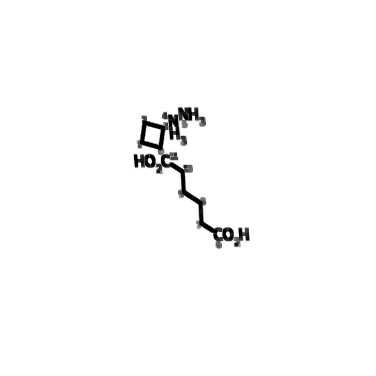 C1CCC1.N.N.O=C(O)CCCCC(=O)O